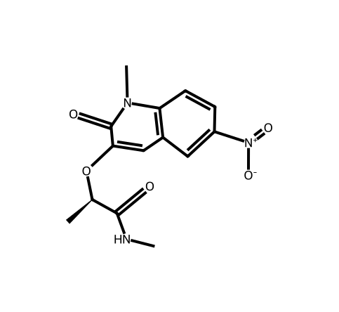 CNC(=O)[C@@H](C)Oc1cc2cc([N+](=O)[O-])ccc2n(C)c1=O